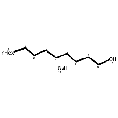 CCCCCCCCCCCCCCO.[NaH]